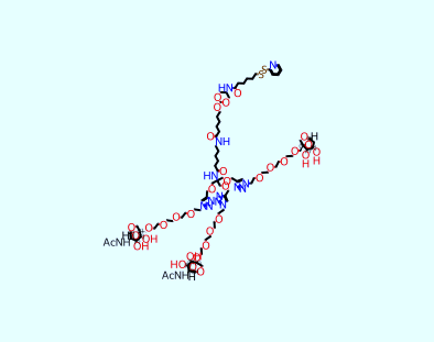 CC(=O)N[C@H]1[C@@H]2OC[C@](COCCOCCOCCOCCn3cc(COCC(COCc4cn(CCOCCOCCOCCOC[C@]56CO[C@H](C[C@@H](O)[C@H]5O)O6)nn4)(COCc4cn(CCOCCOCCOCCO[C@@]56CO[C@@H](O5)[C@H](NC(C)=O)[C@@H](O)[C@H]6O)nn4)NC(=O)CCCCCNC(=O)CCCCCOC4OCC(NC(=O)CCCCCSSc5ccccn5)CO4)nn3)(O2)[C@H](O)[C@@H]1O